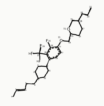 C/C=C/CCC1CCC(c2ccc(OCC3CCC(CCC)CO3)c(F)c2C(F)(F)F)CC1